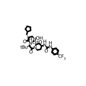 CC(C)(C)[C@H](NC(=O)[C@H](CC1CCCC1)CN(O)C=O)C(=O)N1CCC(NC(=O)Nc2ccc(C(F)(F)F)cc2)CC1